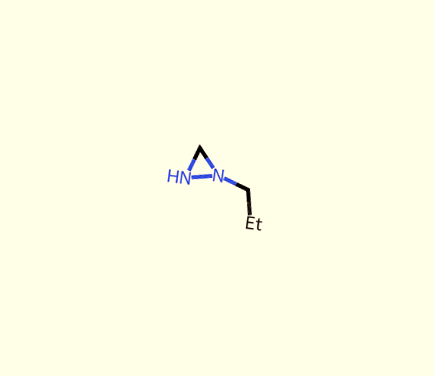 CCCN1CN1